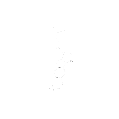 CCN(CC)CCNc1ncnc2c1sc1nc3c(cc12)COC(C)(C)C3